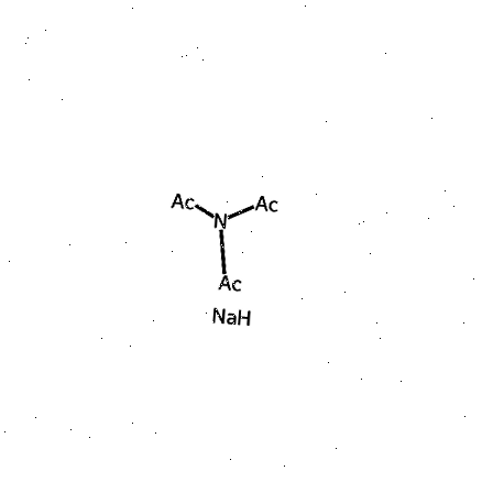 CC(=O)N(C(C)=O)C(C)=O.[NaH]